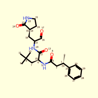 C[C@@H](CC(=O)N[C@@H](CC(C)(C)C)C(=O)NC(C=O)C[C@@H]1CCNC1=O)c1ccccc1